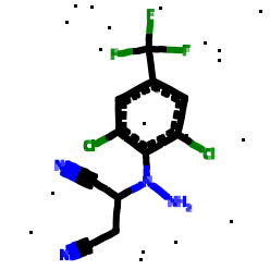 N#CCC(C#N)N(N)c1c(Cl)cc(C(F)(F)F)cc1Cl